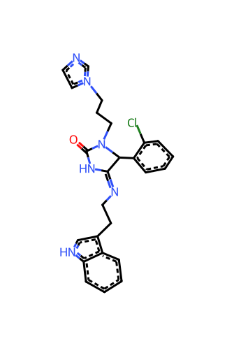 O=C1NC(=NCCc2c[nH]c3ccccc23)C(c2ccccc2Cl)N1CCCn1ccnc1